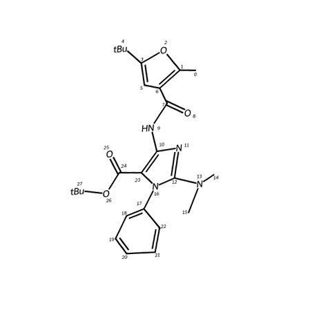 Cc1oc(C(C)(C)C)cc1C(=O)Nc1nc(N(C)C)n(-c2ccccc2)c1C(=O)OC(C)(C)C